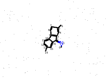 CN=C1c2cc(C)ccc2-c2ccc(C)cc21